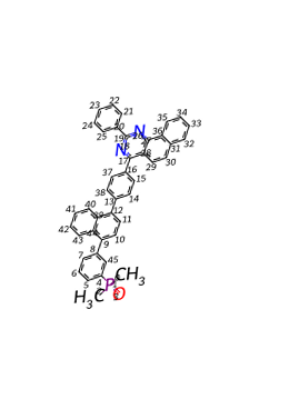 CP(C)(=O)c1cccc(-c2ccc(-c3ccc(-c4nc(-c5ccccc5)nc5c4ccc4ccccc45)cc3)c3ccccc23)c1